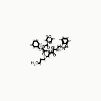 CCCCOCC(NC(=O)[C@H](CC1CCCCC1)NC(=O)N1CCOCC1)C(=O)C(=O)NCn1nnc2ccccc21